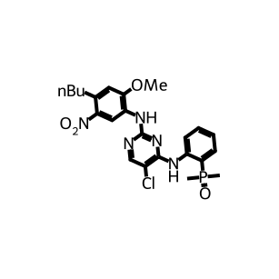 CCCCc1cc(OC)c(Nc2ncc(Cl)c(Nc3ccccc3P(C)(C)=O)n2)cc1[N+](=O)[O-]